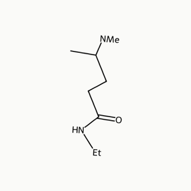 CCNC(=O)CCC(C)NC